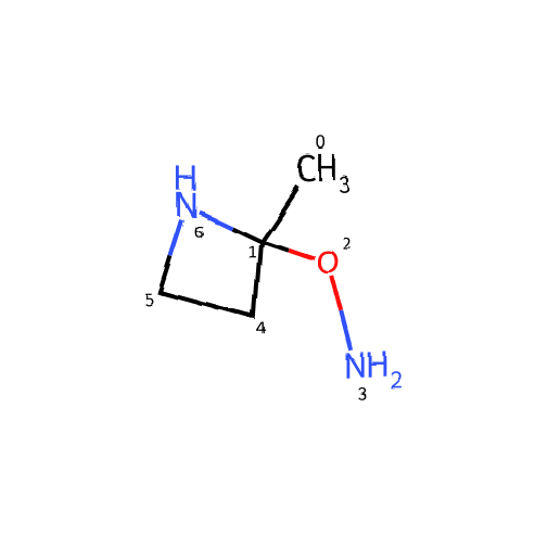 CC1(ON)CCN1